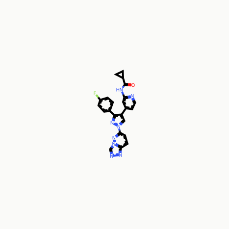 O=C(Nc1cc(-c2cn(-c3ccc4nncn4n3)nc2-c2ccc(F)cc2)ccn1)C1CC1